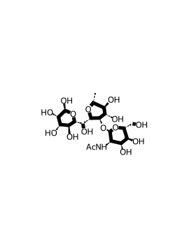 CC(=O)N[C@@H]1[C@H](O[C@H]2[C@@H](O)[C@H](O)[C@@H](C)O[C@H]2C(O)[C@H]2O[C@H](O)[C@@H](O)[C@@H](O)[C@@H]2O)O[C@H](CO)[C@@H](O)[C@@H]1O